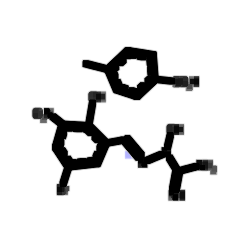 Cc1ccc(S(=O)(=O)O)cc1.N=C(N)N(O)/N=C/c1cc(Br)cc([N+](=O)[O-])c1O